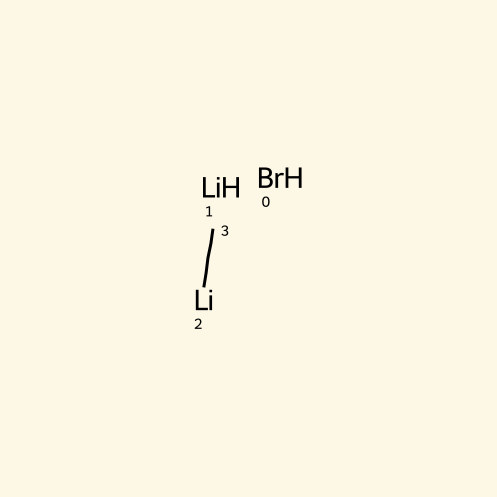 Br.[LiH].[Li][CH3]